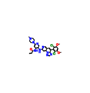 C=CC(=O)Nc1cc(N2CCN(C)CC2)ncc1Nc1cc2c(cn1)cc(-c1c(Cl)c(OC)cc(OC)c1Cl)c1ncnn12